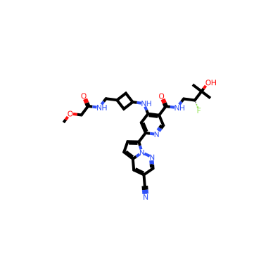 COCC(=O)NCC1CC(Nc2cc(-c3ccc4cc(C#N)cnn34)ncc2C(=O)NC[C@@H](F)C(C)(C)O)C1